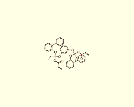 C=CC(=O)OC(CC)(Oc1cccc(OC(CC)(OC(=O)C=C)Oc2ccccc2-c2ccccc2)c1)Oc1ccccc1-c1ccccc1